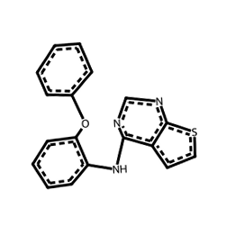 c1ccc(Oc2ccccc2Nc2ncnc3sccc23)cc1